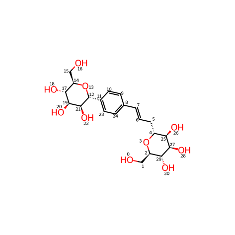 OC[C@H]1O[C@H](C/C=C/c2ccc([C@H]3O[C@H](CO)[C@@H](O)[C@H](O)[C@@H]3O)cc2)[C@@H](O)[C@@H](O)[C@@H]1O